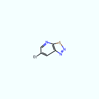 CCc1cnc2snnc2c1